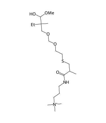 CCC(C)(COCOCCSCC(C)C(=O)NCCC[N+](C)(C)C)C(O)OC